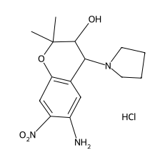 CC1(C)Oc2cc([N+](=O)[O-])c(N)cc2C(N2CCCC2)C1O.Cl